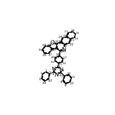 c1ccc(-c2nc(-c3ccccc3)nc(-c3ccc(-c4nc5cc6ccccc6cc5c5oc6ccccc6c45)cc3)n2)cc1